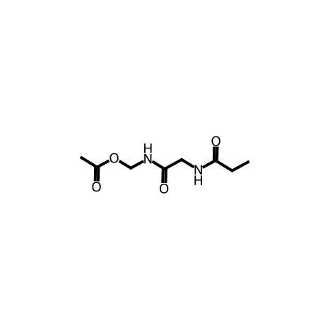 CCC(=O)NCC(=O)NCOC(C)=O